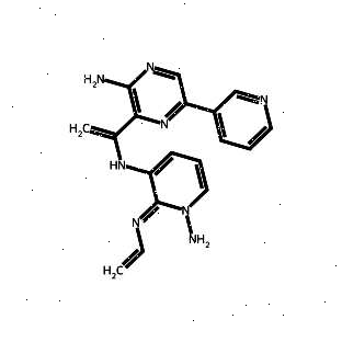 C=C/N=c1/c(NC(=C)c2nc(-c3cccnc3)cnc2N)cccn1N